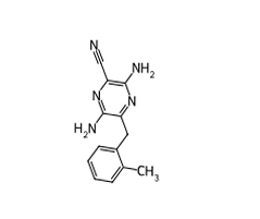 Cc1ccccc1Cc1nc(N)c(C#N)nc1N